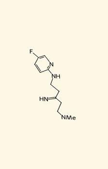 CNCCC(=N)CCNc1ccc(F)cn1